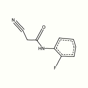 N#CCC(=O)Nc1ccccc1F